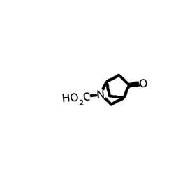 O=C1CC2CC1CN2C(=O)O